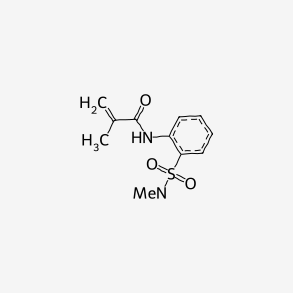 C=C(C)C(=O)Nc1ccccc1S(=O)(=O)NC